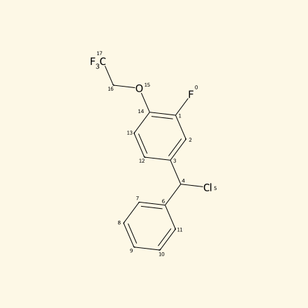 Fc1cc(C(Cl)c2ccccc2)ccc1OCC(F)(F)F